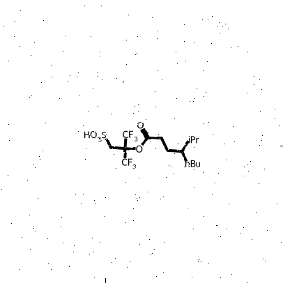 CCCCC(CCC(=O)OC(CS(=O)(=O)O)(C(F)(F)F)C(F)(F)F)C(C)C